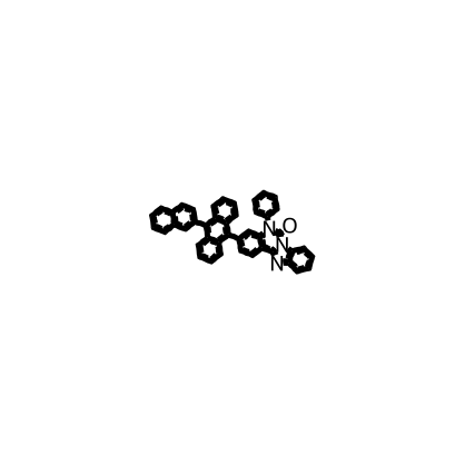 O=c1n(-c2ccccc2)c2cc(-c3c4ccccc4c(-c4ccc5ccccc5c4)c4ccccc34)ccc2c2nc3ccccc3n12